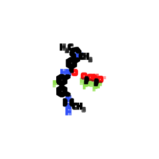 CC1CC[N+](C)(Cc2cccc(C(=O)NCc3ccc(F)c(-c4cccc(CN5CCN[C@@H](C)C5)c4)c3)c2)CC1.O=C(O)C(F)(F)F.O=C([O-])C(F)(F)F